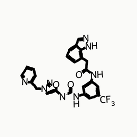 O=C(Cc1cccc2cn[nH]c12)Nc1cc(NC(=O)[N-]c2c[n+](Cc3ccccn3)no2)cc(C(F)(F)F)c1